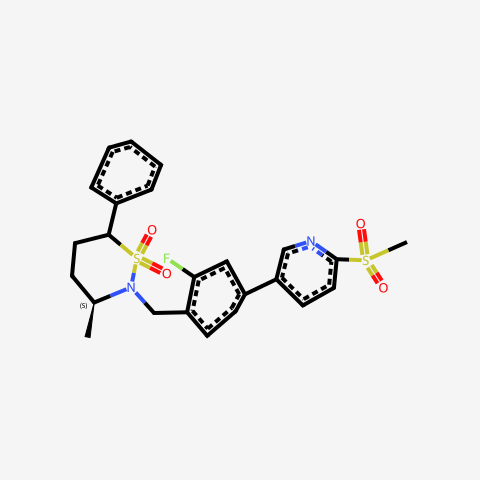 C[C@H]1CCC(c2ccccc2)S(=O)(=O)N1Cc1ccc(-c2ccc(S(C)(=O)=O)nc2)cc1F